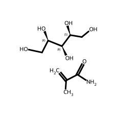 C=C(C)C(N)=O.OC[C@@H](O)[C@H](O)[C@@H](O)CO